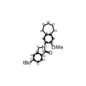 COc1cc2c(cc1N1Cc3cc(C(C)(C)C)ccc3C1=O)CCCCC2